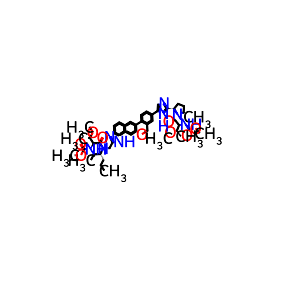 CCC[C@H](CC)N(Cc1nc2ccc3cc4c(cc3c2[nH]1)OCc1cc(-c2cnc([C@@H]3CC[C@H](C)N3C(=O)[C@@H](NC(=O)OC)[C@@H](C)OC)[nH]2)ccc1-4)C(=O)[C@@H](NC(=O)OC)[C@@H](C)OC